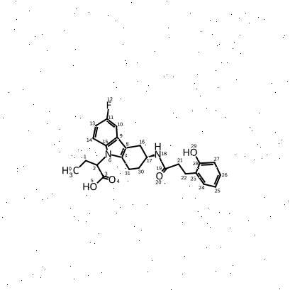 CCC(C(=O)O)n1c2c(c3cc(F)ccc31)C[C@@H](NC(=O)CCc1ccccc1O)CC2